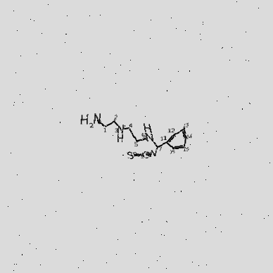 NCCNCCNC(N=C=S)c1ccccc1